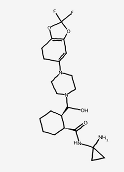 NC1(NC(=O)[C@H]2CCCC[C@H]2C(O)N2CCN(C3=CC4=C(CC3)OC(F)(F)O4)CC2)CC1